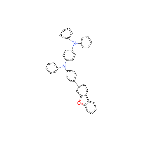 c1ccc(N(c2ccccc2)c2ccc(N(c3ccccc3)c3ccc(-c4ccc5c(c4)oc4ccccc45)cc3)cc2)cc1